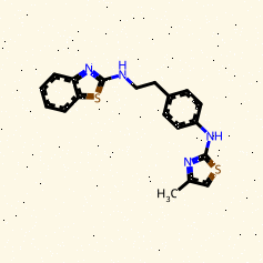 Cc1csc(Nc2ccc(CCNc3nc4ccccc4s3)cc2)n1